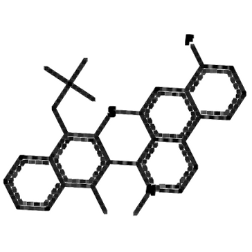 Cc1c2c(c(CC(C)(C)C)c3ccccc13)Sc1cc3c(F)cccc3c3cc[n+](C)c-2c13